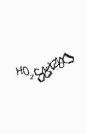 C[C@H]1CN(Cc2ccccc2)C(=O)[C@H](C)N1c1nc2c(C(=O)O)cccc2o1